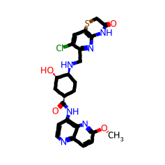 COc1ccc2nccc(NC(=O)[C@H]3CC[C@H](NCc4nc5c(cc4Cl)SCC(=O)N5)[C@@H](O)C3)c2n1